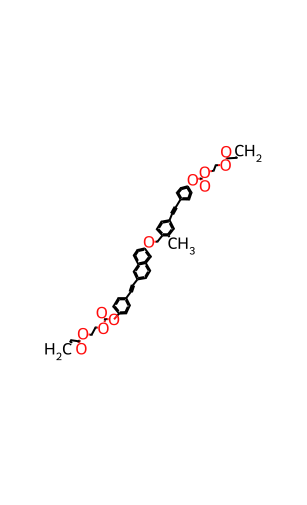 C=CC(=O)OCCOC(=O)Oc1ccc(C#Cc2ccc(COc3ccc4cc(C#Cc5ccc(OC(=O)OCCOC(=O)C=C)cc5)ccc4c3)c(C)c2)cc1